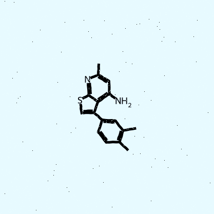 Cc1cc(N)c2c(-c3ccc(C)c(C)c3)csc2n1